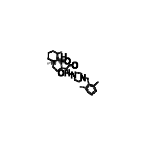 CC1=C2[C@@H]3OC(=O)C(CN4CCN(Cc5c(C)cccc5C)CC4)C3(O)CC[C@@]2(C)CCC1